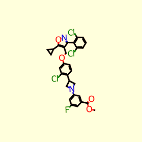 COC(=O)c1cc(F)cc(N2CC(c3ccc(OCc4c(-c5c(Cl)cccc5Cl)noc4C4CC4)cc3Cl)C2)c1